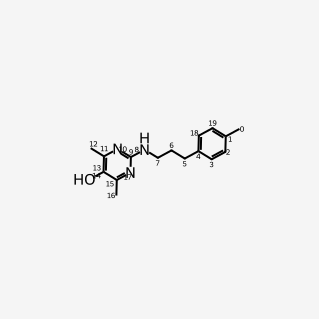 Cc1ccc(CCCNc2nc(C)c(O)c(C)n2)cc1